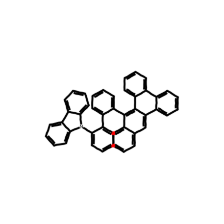 c1ccc(-c2c3ccccc3cc3c4ccccc4c4ccccc4c23)c(-c2ccccc2-n2c3ccccc3c3ccccc32)c1